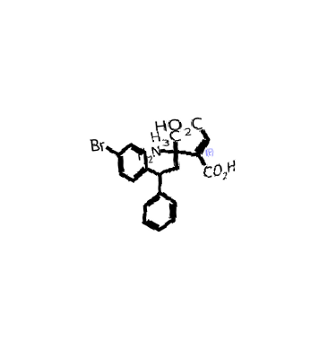 CC(N)(CC(c1ccccc1)c1ccc(Br)cc1)/C(=C\C(=O)O)C(=O)O